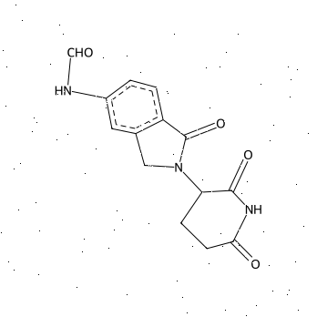 O=CNc1ccc2c(c1)CN(C1CCC(=O)NC1=O)C2=O